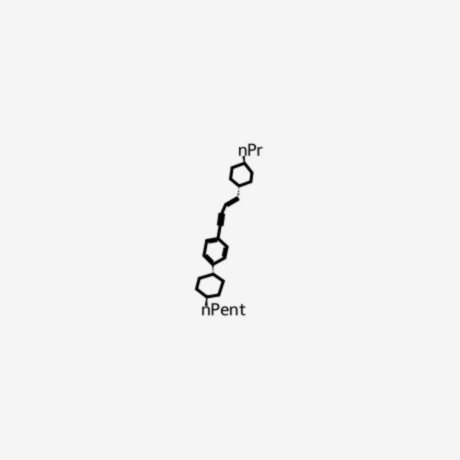 CCCCC[C@H]1CC[C@H](c2ccc(C#CC=C[C@H]3CC[C@H](CCC)CC3)cc2)CC1